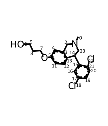 CN1Cc2cc(OCCCO)ccc2C(c2cc(Cl)ccc2Cl)C1